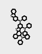 c1ccc(N(c2cc(N(c3ccccc3)c3ccccc3)c3c(c2)sc2c4ccccc4c(N(c4ccccc4)c4ccccc4)cc23)c2ccc3sc4ccccc4c3c2)cc1